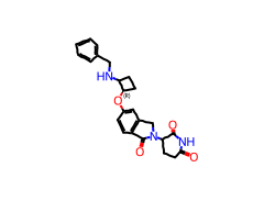 O=C1CCC(N2Cc3cc(O[C@@H]4CCC4NCc4ccccc4)ccc3C2=O)C(=O)N1